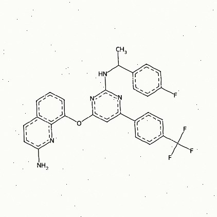 CC(Nc1nc(Oc2cccc3ccc(N)nc23)cc(-c2ccc(C(F)(F)F)cc2)n1)c1ccc(F)cc1